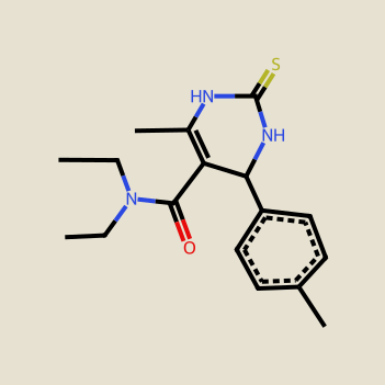 CCN(CC)C(=O)C1=C(C)NC(=S)NC1c1ccc(C)cc1